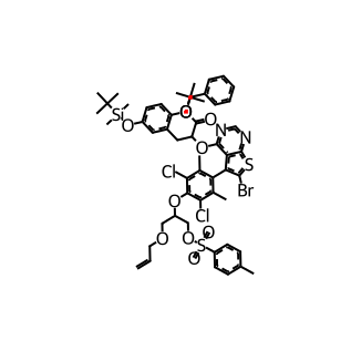 C=CCOCC(COS(=O)(=O)c1ccc(C)cc1)Oc1c(Cl)c(C)c(-c2c(Br)sc3ncnc(OC(Cc4cc(O[Si](C)(C)C(C)(C)C)ccc4OCc4ccccc4)C(=O)OC(C)(C)C)c23)c(C)c1Cl